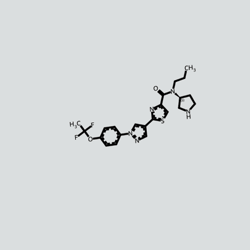 CCCN(C(=O)c1csc(-c2cnn(-c3ccc(OC(C)(F)F)cc3)c2)n1)[C@H]1CCNC1